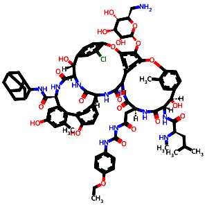 CCOc1ccc(NC(=O)NC(=O)C[C@@H]2NC(=O)[C@H](NC(=O)[C@@H](CC(C)C)NC)[C@H](O)c3ccc(c(C)c3)Oc3cc4cc(c3O[C@@H]3O[C@H](CN)[C@@H](O)[C@H](O)[C@H]3O)Oc3ccc(cc3Cl)[C@@H](O)[C@@H]3NC(=O)[C@H](NC(=O)[C@@H]4NC2=O)c2ccc(O)c(c2)-c2c(C)cc(O)cc2[C@@H](C(=O)NC2C4CC5CC(C4)CC2C5)NC3=O)cc1